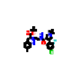 Cc1ccc(C[C@H](NCCNC(=O)[C@@H]2CN(C(C)(C)C)C[C@H]2c2ccc(Cl)cc2F)C(=O)OC(C)(C)C)cc1